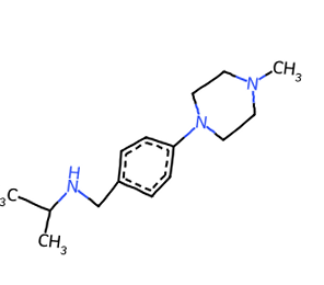 CC(C)NCc1ccc(N2CCN(C)CC2)cc1